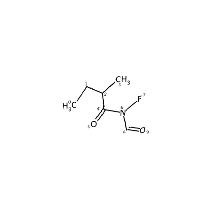 CCC(C)C(=O)N(F)C=O